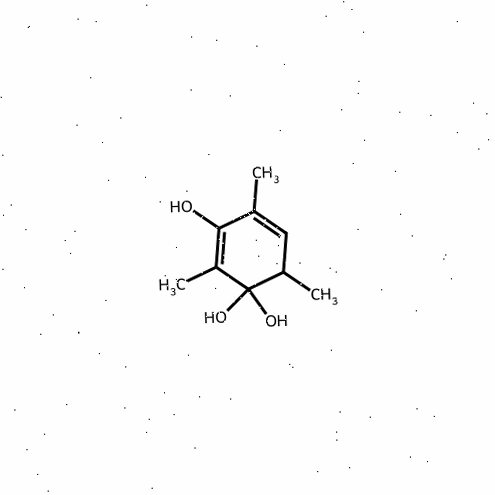 CC1=CC(C)C(O)(O)C(C)=C1O